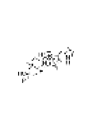 C[C@]12CC[C@H]3[C@@H](CC[C@H]4C[C@@](O)(CF)CC[C@@H]43)[C@@H]1CC[C@@H]2C(=O)Cc1ncc[nH]1